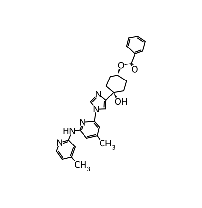 Cc1ccnc(Nc2cc(C)cc(-n3cnc([C@]4(O)CC[C@@H](OC(=O)c5ccccc5)CC4)c3)n2)c1